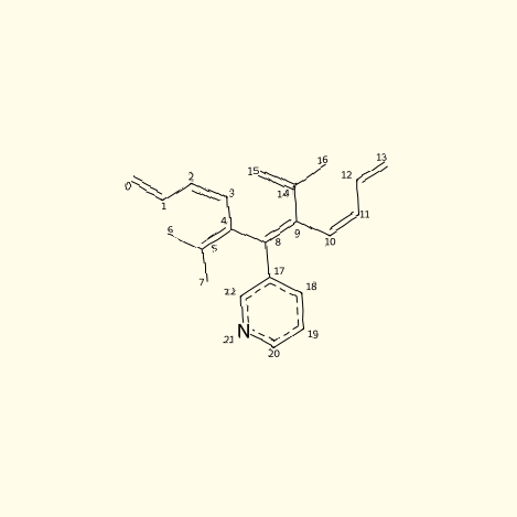 C=C/C=C\C(=C(C)C)/C(=C(/C=C\C=C)C(=C)C)c1cccnc1